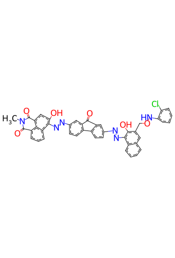 CN1C(=O)c2cccc3c(N=Nc4ccc5c(c4)C(=O)c4cc(N=Nc6c(O)c(CONc7ccccc7Cl)cc7ccccc67)ccc4-5)c(O)cc(c23)C1=O